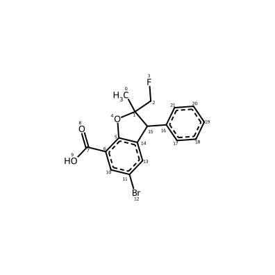 CC1(CF)Oc2c(C(=O)O)cc(Br)cc2C1c1ccccc1